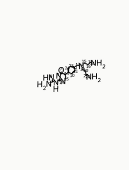 N=C(N)NC1=NC(=O)C(c2ccc(CN(CCCN)CCCN)cc2)C=N1